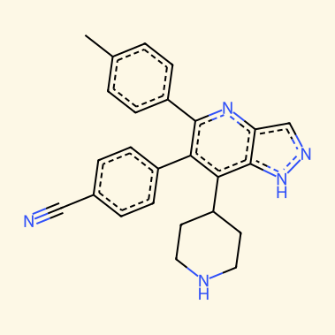 Cc1ccc(-c2nc3cn[nH]c3c(C3CCNCC3)c2-c2ccc(C#N)cc2)cc1